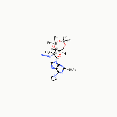 CC(=O)Nc1nc(N2CCC2)c2ncn([C@@H]3O[C@@H]4CO[Si](C(C)C)(C(C)C)O[Si](C(C)C)(C(C)C)O[C@H]4[C@@]3(C)N=[N+]=[N-])c2n1